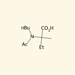 CCCCN(C(C)=O)C(C)(CC)C(=O)O